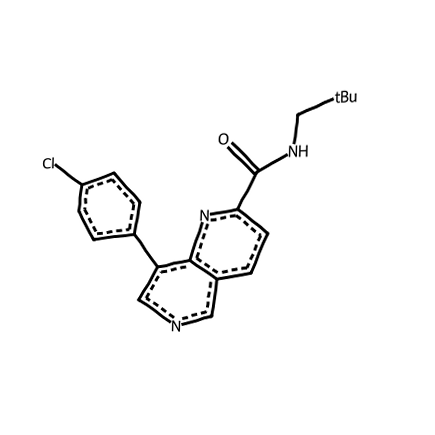 CC(C)(C)CNC(=O)c1ccc2cncc(-c3ccc(Cl)cc3)c2n1